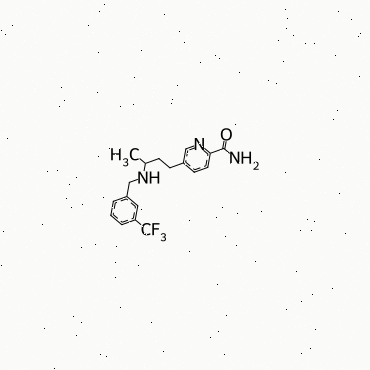 CC(CCc1ccc(C(N)=O)nc1)NCc1cccc(C(F)(F)F)c1